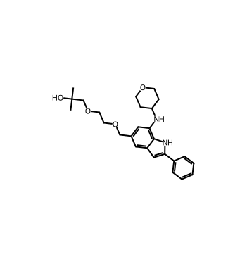 CC(C)(O)COCCOCc1cc(NC2CCOCC2)c2[nH]c(-c3ccccc3)cc2c1